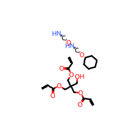 C1CCCCC1.C=CC(=O)OCC(CO)(COC(=O)C=C)COC(=O)C=C.N=C=O.N=C=O